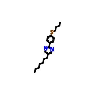 CCCCCCCc1cnc(-c2ccc(SCCCC)cc2)nc1